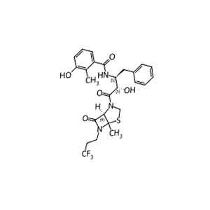 Cc1c(O)cccc1C(=O)N[C@@H](Cc1ccccc1)[C@H](O)C(=O)N1CSC2(C)[C@H]1C(=O)N2CCC(F)(F)F